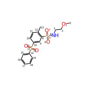 COCCNS(=O)(=O)c1cc(S(=O)(=O)c2ccccc2)ccc1C